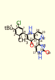 Cc1cc(C(C)(C)C)c(Cl)cc1-c1cc(=O)c2c(-c3cc[nH]c(=O)n3)nccc2[nH]1